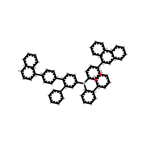 c1ccc(-c2cc(N(c3ccc(-c4cc5ccccc5c5ccccc45)cc3)c3ccccc3-c3ccccc3)ccc2-c2ccc(-c3cccc4ccccc34)cc2)cc1